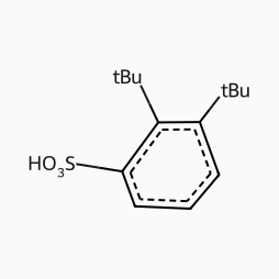 CC(C)(C)c1cccc(S(=O)(=O)O)c1C(C)(C)C